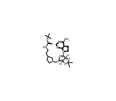 CC(C)(C)OC(=O)NCCC1CCN(C[C@H]2O[C@@H](n3ccc4c(N)ncnc43)[C@@H]3OC(C)(C)O[C@@H]32)C1